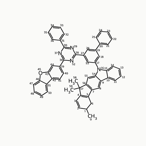 CC1C=CC2=C(C1)c1cc3c4ccccc4n(-c4cc(-c5ccccc5)cc(-c5nc(-c6ccccc6)nc(-c6ccc7c(c6)oc6ccccc67)n5)c4)c3cc1C2(C)C